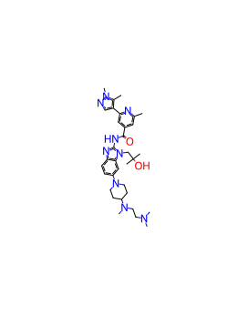 Cc1cc(C(=O)Nc2nc3ccc(N4CCC(N(C)CCN(C)C)CC4)cc3n2CC(C)(C)O)cc(-c2cnn(C)c2C)n1